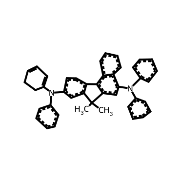 CC1(C)c2cc(N(C3=CC=CCC3)c3ccccc3)ccc2-c2c1cc(N(c1ccccc1)c1ccccc1)c1ccccc21